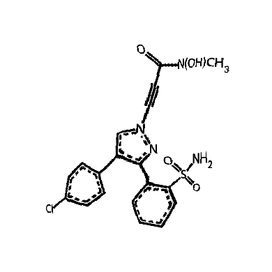 CN(O)C(=O)C#Cn1cc(-c2ccc(Cl)cc2)c(-c2ccccc2S(N)(=O)=O)n1